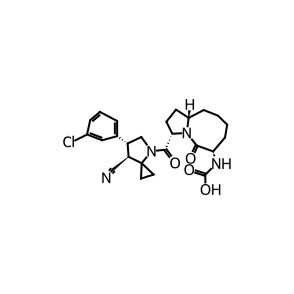 N#C[C@H]1[C@H](c2cccc(Cl)c2)CN(C(=O)[C@@H]2CC[C@@H]3CCCC[C@H](NC(=O)O)C(=O)N32)C12CC2